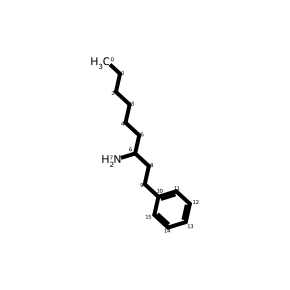 CCCCCCC(N)CCc1ccccc1